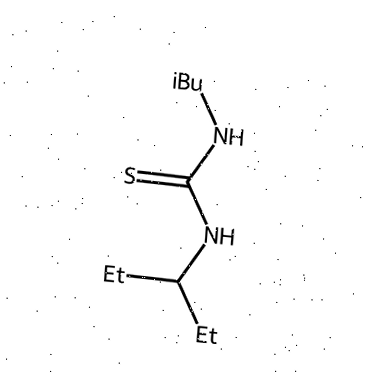 CCC(C)NC(=S)NC(CC)CC